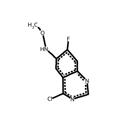 CONc1cc2c(Cl)ncnc2cc1F